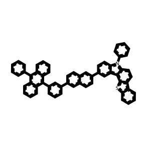 c1ccc(-c2c3ccccc3c(-c3cccc(-c4ccc5cc(-c6ccc7c(c6)c6c8sc9ccccc9c8ccc6n7-c6ccccc6)ccc5c4)c3)c3ccccc23)cc1